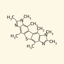 Cc1c2nc(C)n(C)c2c(C)c2c1sc1c(C)c3nc(C)n(C)c3c(C)c12